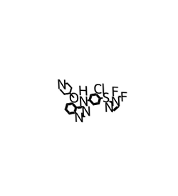 CN1CCC(Oc2cccc3ncnc(Nc4ccc(Sc5nccn5C(F)F)c(Cl)c4)c23)CC1